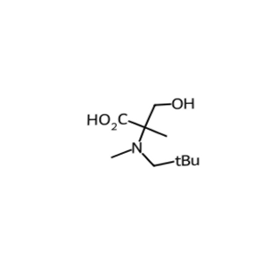 CN(CC(C)(C)C)C(C)(CO)C(=O)O